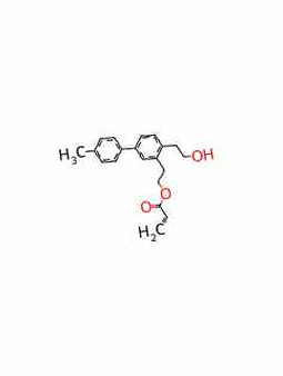 C=CC(=O)OCCc1cc(-c2ccc(C)cc2)ccc1CCO